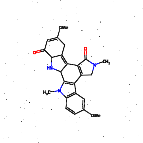 COC1=CC(=O)C2NC3C(=C2C1)C1=C(CN(C)C1=O)c1c3n(C)c2ccc(OC)cc12